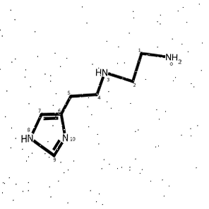 NCCNCCc1c[nH]cn1